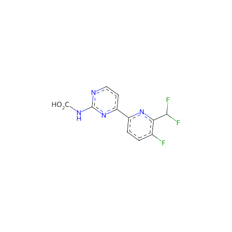 O=C(O)Nc1nccc(-c2ccc(F)c(C(F)F)n2)n1